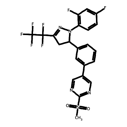 CS(=O)(=O)c1ncc(-c2cccc(C3CC(C(F)(F)C(F)(F)F)=NN3c3ccc(F)cc3F)c2)cn1